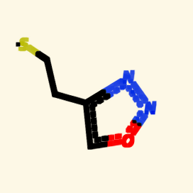 [S]CCc1conn1